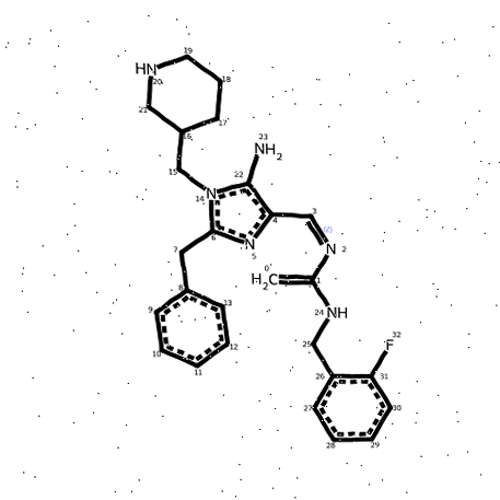 C=C(/N=C\c1nc(Cc2ccccc2)n(CC2CCCNC2)c1N)NCc1ccccc1F